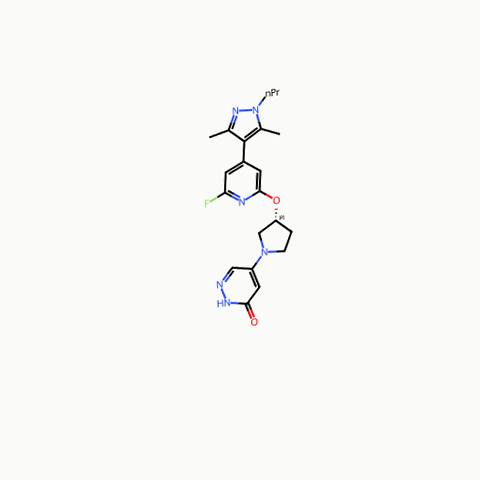 CCCn1nc(C)c(-c2cc(F)nc(O[C@@H]3CCN(c4cn[nH]c(=O)c4)C3)c2)c1C